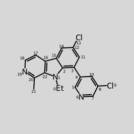 CCn1c2c(-c3cncc(Cl)c3)cc(Cl)cc2c2ccnc(C)c21